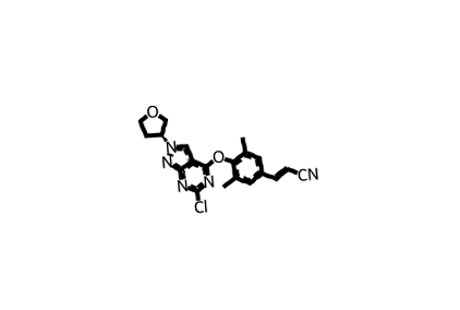 Cc1cc(/C=C/C#N)cc(C)c1Oc1nc(Cl)nc2nn([C@H]3CCOC3)cc12